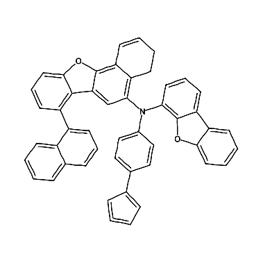 C1=CC=C(c2ccc(N(c3cc4c(oc5cccc(-c6cccc7ccccc67)c54)c4c3CCC=C4)c3cccc4c3oc3ccccc34)cc2)C=1